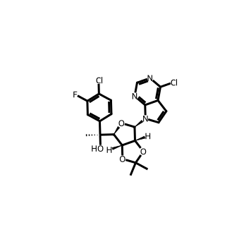 CC1(C)O[C@@H]2[C@H](O1)[C@@H]([C@@](C)(O)c1ccc(Cl)c(F)c1)O[C@H]2n1ccc2c(Cl)ncnc21